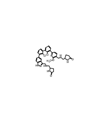 COc1nc(-c2cccc(-c3cccc(-c4ccc5[nH]nc(CNCC6CCC(=O)N6)c5c4)c3Cl)c2Cl)ccc1CNCC1CCC(=O)N1